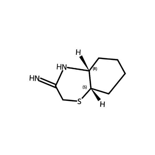 N=C1CS[C@H]2CCCC[C@H]2N1